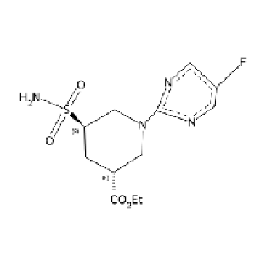 CCOC(=O)[C@@H]1C[C@@H](S(N)(=O)=O)CN(c2ncc(F)cn2)C1